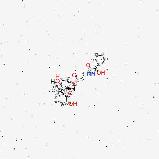 O=C(CCNC(=O)[C@@H](O)c1ccccc1)OC1=CC[C@@]2(O)[C@@H]3CCC[C@@]24c2c(ccc(O)c2O[C@@H]14)C3